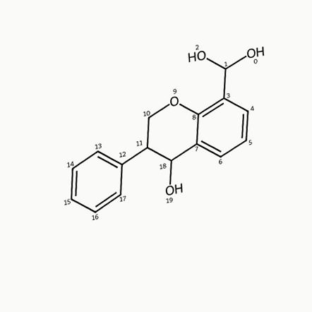 OC(O)c1cccc2c1OCC(c1ccccc1)C2O